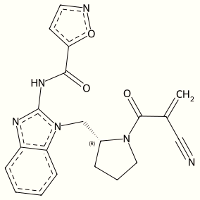 C=C(C#N)C(=O)N1CCC[C@@H]1Cn1c(NC(=O)c2ccno2)nc2ccccc21